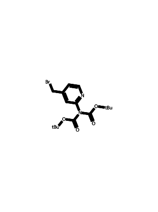 CC(C)(C)OC(=O)N(C(=O)OC(C)(C)C)c1cc(CBr)ccn1